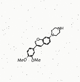 COc1ccc(C2=Cc3ccc(N4CCNCC4)cc3OC2)cc1OC